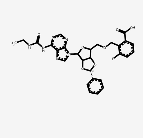 CCNC(=O)Nc1ncnc2c1ncn2C1OC(COCc2c(F)cccc2C(=O)O)C2O[C@H](c3ccccc3)OC21